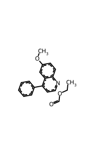 CCOC=O.COc1ccc2nccc(-c3ccccc3)c2c1